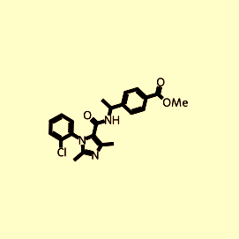 COC(=O)c1ccc(C(C)NC(=O)c2c(C)nc(C)n2-c2ccccc2Cl)cc1